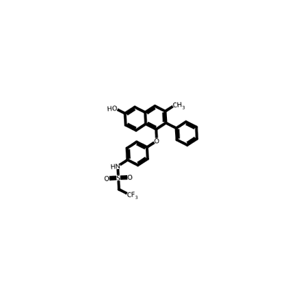 Cc1cc2cc(O)ccc2c(Oc2ccc(NS(=O)(=O)CC(F)(F)F)cc2)c1-c1ccccc1